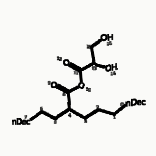 CCCCCCCCCCCCCC(CCCCCCCCCCCC)C(=O)OC(=O)C(O)CO